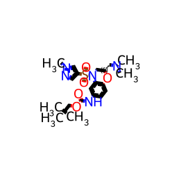 CN(C)C[C@H]1CN(S(=O)(=O)c2cnn(C)c2)c2cc(NC(=O)OCC(C)(C)C)ccc2O1